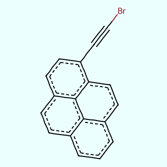 BrC#Cc1ccc2ccc3cccc4ccc1c2c34